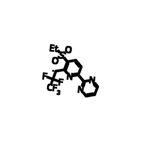 CCS(=O)(=O)c1ccc(-c2ncccn2)nc1[CH]C(F)(F)C(F)(F)F